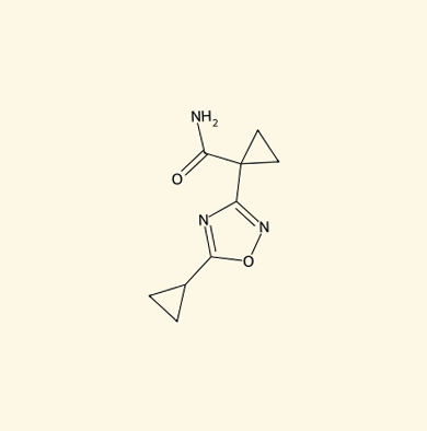 NC(=O)C1(c2noc(C3CC3)n2)CC1